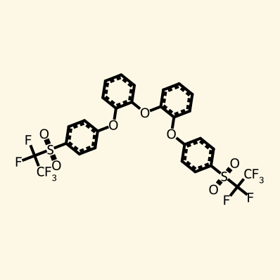 O=S(=O)(c1ccc(Oc2ccccc2Oc2ccccc2Oc2ccc(S(=O)(=O)C(F)(F)C(F)(F)F)cc2)cc1)C(F)(F)C(F)(F)F